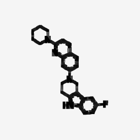 Fc1ccc2[nH]c3c(c2c1)CN(c1ccc2ccc(N4CCCCC4)nc2c1)CC3